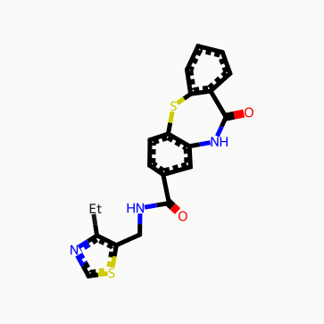 CCc1ncsc1CNC(=O)c1ccc2c(c1)NC(=O)c1ccccc1S2